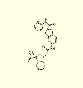 CC(=O)N1CC(CC(=O)Nc2ccc3c(c2)CC2(C3)C(=O)Nc3ncccc32)C2C=CC=CC21